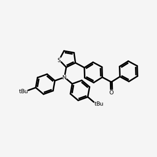 CC(C)(C)c1ccc(N(c2ccc(C(C)(C)C)cc2)c2sccc2-c2ccc(C(=O)c3ccccc3)cc2)cc1